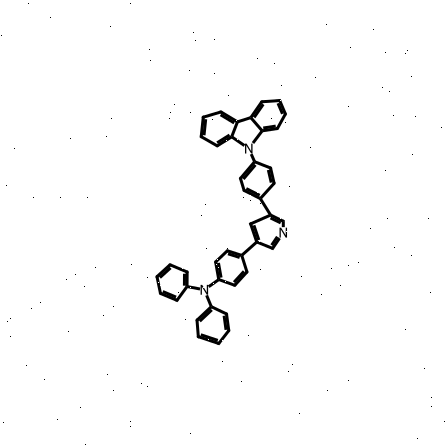 c1ccc(N(c2ccccc2)c2ccc(-c3cncc(-c4ccc(-n5c6ccccc6c6ccccc65)cc4)c3)cc2)cc1